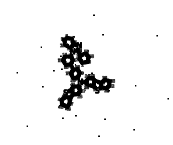 c1ccc(-c2nc3ccccc3n2-c2cccc(-c3ccc(N(c4ccc5c(c4)sc4ccccc45)c4ccc5c(c4)sc4ccccc45)cc3)c2)cc1